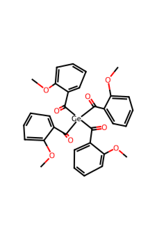 COc1ccccc1[C](=O)[Ge]([C](=O)c1ccccc1OC)([C](=O)c1ccccc1OC)[C](=O)c1ccccc1OC